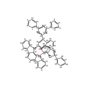 c1ccc(-c2nc(-c3ccccc3)nc(-c3cc(-n4c5ccccc5c5ccc6c7ccccc7n(-c7cccc8nc(-c9ccccc9)oc78)c6c54)cc4ccccc34)n2)cc1